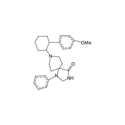 COc1ccc(C2CCCCC2N2CCC3(CC2)C(=O)NCN3c2ccccc2)cc1